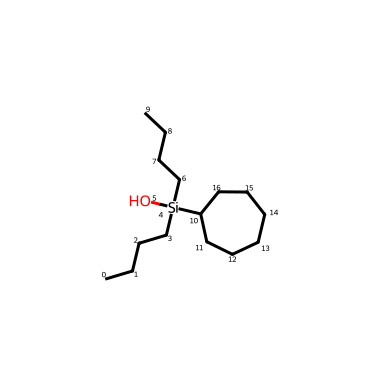 CCCC[Si](O)(CCCC)C1CCCCCC1